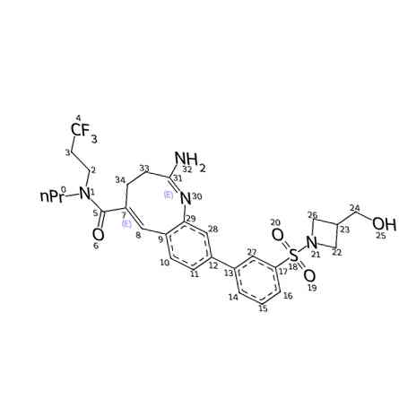 CCCN(CCC(F)(F)F)C(=O)/C1=C/c2ccc(-c3cccc(S(=O)(=O)N4CC(CO)C4)c3)cc2/N=C(/N)CC1